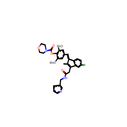 COc1cc(C=C2C(C)=C(CC(=O)NCc3cccnc3)c3cc(F)ccc32)cc(OC)c1OC(=O)N1CCOCC1